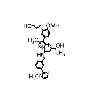 COc1ccc(-c2c(C)nn3c(NCc4cccc(-c5nccn5C)c4)cc(C(C)O)nc23)cc1SCCO